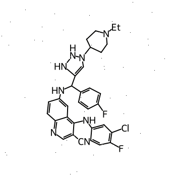 CCN1CCC(N2C=C(C(Nc3ccc4ncc(C#N)c(Nc5ccc(F)c(Cl)c5)c4c3)c3ccc(F)cc3)NN2)CC1